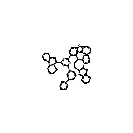 c1ccc(-c2cccc(-c3nc(-c4ccc5oc6ccccc6c5c4C4CCc5cc6ccccc6cc5-c5ccccc54)nc(-c4cc5ccccc5c5ccccc45)n3)c2)cc1